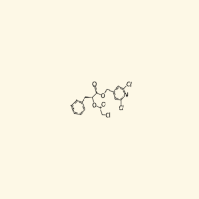 O=C(CCl)O[C@@H](Cc1ccccc1)C(=O)OCc1cc(Cl)nc(Cl)c1